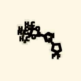 CC1(C)OB(c2cnn(C3CCC(F)(F)C3)c2)OC1(C)C